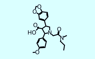 CCCN(C)C(=O)CN1CC(c2ccc3c(c2)OCO3)C(C(=O)O)C1c1ccc(OC)cc1